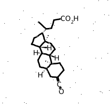 CC(CCC(=O)O)[C@H]1CC[C@H]2[C@@H]3CC[C@@H]4CC(=C=O)CC[C@]4(C)[C@H]3CC[C@]12C